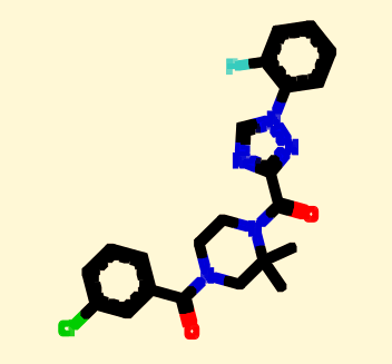 CC1(C)CN(C(=O)c2cccc(Cl)c2)CCN1C(=O)c1ncn(-c2ccccc2F)n1